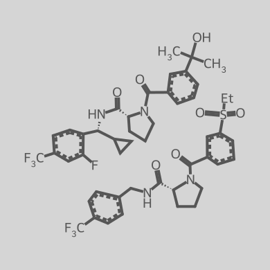 CC(C)(O)c1cccc(C(=O)N2CCC[C@@H]2C(=O)N[C@@H](c2ccc(C(F)(F)F)cc2F)C2CC2)c1.CCS(=O)(=O)c1cccc(C(=O)N2CCC[C@@H]2C(=O)NCc2ccc(C(F)(F)F)cc2)c1